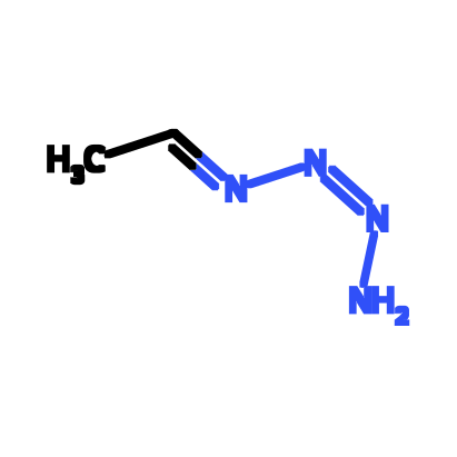 C/C=N/N=N\N